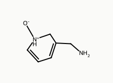 NCC1=CC=C[NH+]([O-])C1